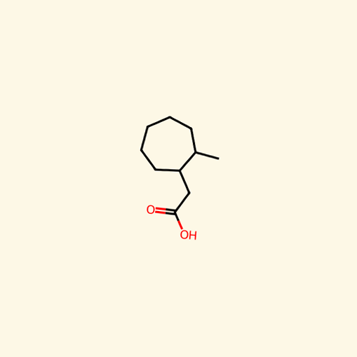 CC1CCCCCC1CC(=O)O